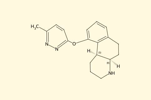 Cc1ccc(Oc2cccc3c2[C@@H]2CCCN[C@@H]2CC3)nn1